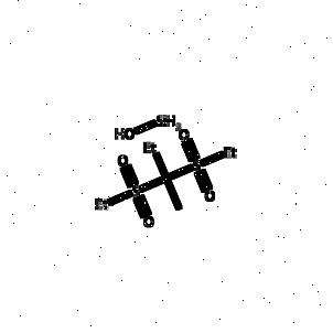 CCC(C)(S(=O)(=O)CC)S(=O)(=O)CC.O[SiH3]